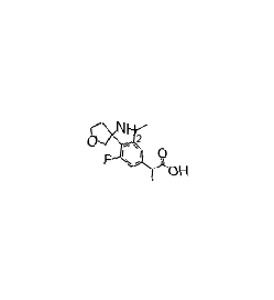 CCc1cc(C(C)C(=O)O)cc(F)c1C1(N)CCOC1